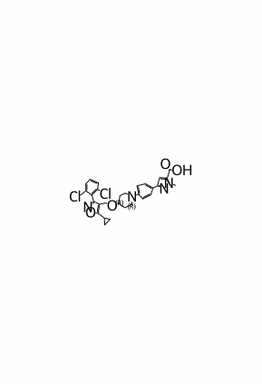 C[C@@H]1C[C@H](OCc2c(-c3c(Cl)cccc3Cl)noc2C2CC2)CCN1c1ccc(-c2cc(C(=O)O)n(C)n2)cc1